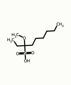 CCCCCCC(CC)(OC)S(=O)(=O)O